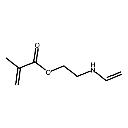 C=CNCCOC(=O)C(=C)C